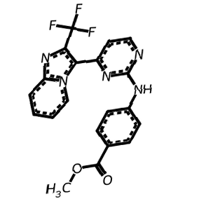 COC(=O)c1ccc(Nc2nccc(-c3c(C(F)(F)F)nc4ccccn34)n2)cc1